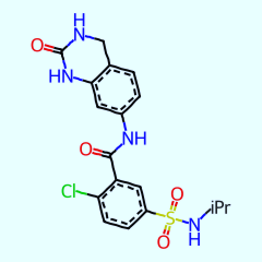 CC(C)NS(=O)(=O)c1ccc(Cl)c(C(=O)Nc2ccc3c(c2)NC(=O)NC3)c1